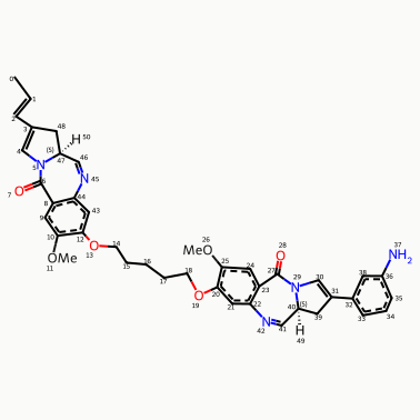 CC=CC1=CN2C(=O)c3cc(OC)c(OCCCCCOc4cc5c(cc4OC)C(=O)N4C=C(c6cccc(N)c6)C[C@H]4C=N5)cc3N=C[C@@H]2C1